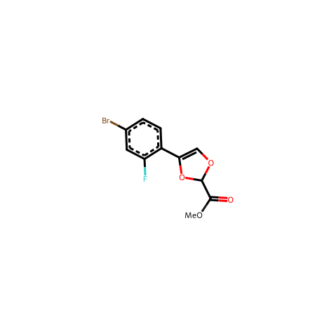 COC(=O)C1OC=C(c2ccc(Br)cc2F)O1